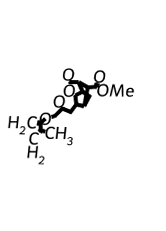 C=C(C)C(=C)OCC(=O)CC1C2CC3C1OC(=O)C3C2C(=O)OC